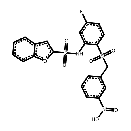 O=[N+](O)c1cccc(CS(=O)(=O)c2ccc(F)cc2NS(=O)(=O)c2cc3ccccc3o2)c1